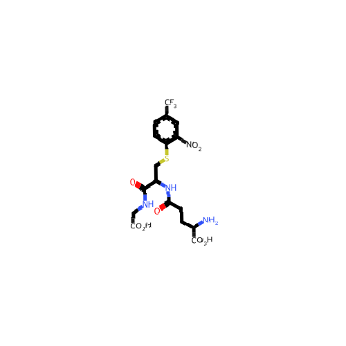 NC(CCC(=O)NC(CSc1ccc(C(F)(F)F)cc1[N+](=O)[O-])C(=O)NCC(=O)O)C(=O)O